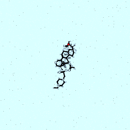 CCN1CCN(CC(=O)O[C@H]2[C@H](OC(C)=O)C[C@]34COC[C@]2(C)[C@@H]3CC[C@H]2C4=CC[C@@]3(C)[C@H](C(=O)O)[C@@](C)([C@H](C)C(C)C)CC[C@]23C)CC1